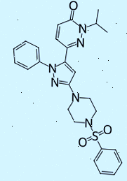 CC(C)n1nc(-c2cc(N3CCN(S(=O)(=O)c4ccccc4)CC3)nn2-c2ccccc2)ccc1=O